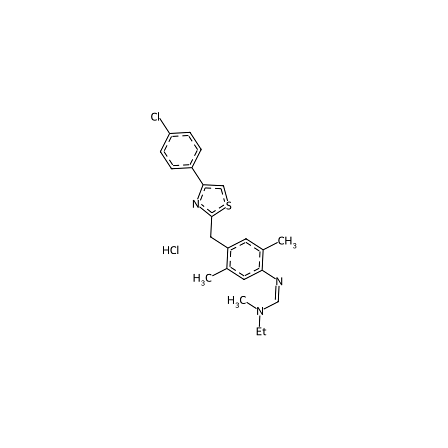 CCN(C)/C=N\c1cc(C)c(Cc2nc(-c3ccc(Cl)cc3)cs2)cc1C.Cl